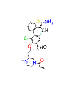 C=CC(=O)N1CCN(C)C(CCOc2c(C=O)cc(F)c(-c3cccc4sc(N)c(C#N)c34)c2Cl)C1